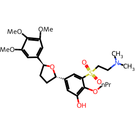 CCCOc1c(O)cc([C@@H]2CC[C@@H](c3cc(OC)c(OC)c(OC)c3)O2)cc1S(=O)(=O)CCN(C)C